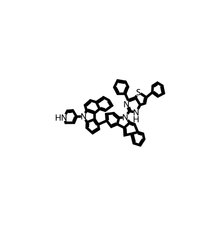 C1=CC(n2c3cccc(-c4ccc5c(c4)c4cc6ccccc6cc4n5C4=NC(c5ccccc5)=C5SC(c6ccccc6)=CC5N4)c3c3c4ccccc4ccc32)=CCN1